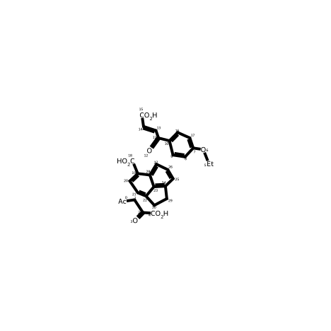 CC(=O)CC(=O)C(=O)O.CCOc1ccc(C(=O)C=CC(=O)O)cc1.O=C(O)c1ccc2c3c(cccc13)CC2